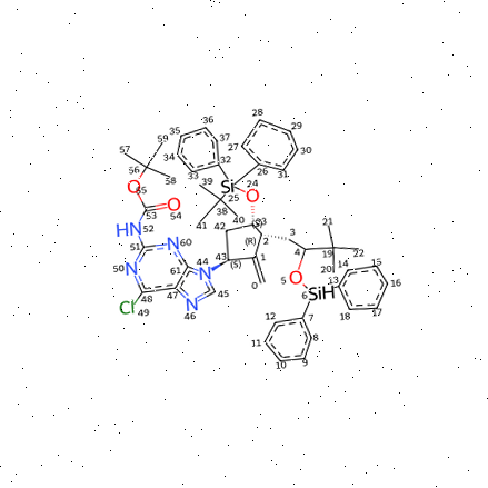 C=C1[C@@H](CC(O[SiH](c2ccccc2)c2ccccc2)C(C)(C)C)[C@@H](O[Si](c2ccccc2)(c2ccccc2)C(C)(C)C)C[C@@H]1n1cnc2c(Cl)nc(NC(=O)OC(C)(C)C)nc21